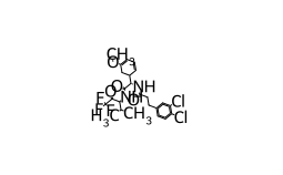 COC1=CC=CC([C@H](NC(=O)CCc2ccc(Cl)c(Cl)c2)C(=O)N[C@H](C(=O)C(F)(F)F)C(C)C)C1